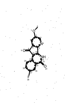 COc1cnc2c(c1)C(=O)c1c-2[nH]c(=O)c2cc(F)ccc12